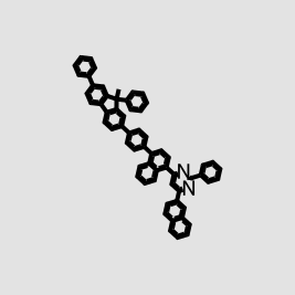 CC1(c2ccccc2)c2cc(-c3ccccc3)ccc2-c2ccc(-c3ccc(-c4ccc(-c5cc(-c6ccc7ccccc7c6)nc(-c6ccccc6)n5)c5ccccc45)cc3)cc21